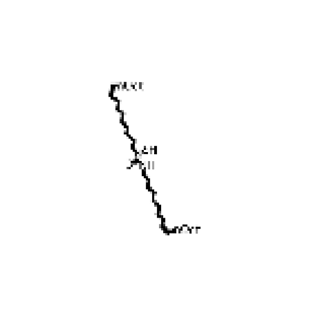 CCCCCCCC/C=C\CCCCCCCCNC(=O)N(S)CCCCCCCC/C=C\CCCCCCCC